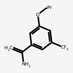 C=C(N)c1cc(OC(C)C)cc(C(F)(F)F)c1